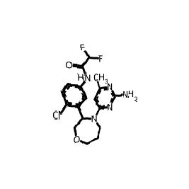 Cc1cc(N2CCCOCC2c2cc(NC(=O)C(F)F)ccc2Cl)nc(N)n1